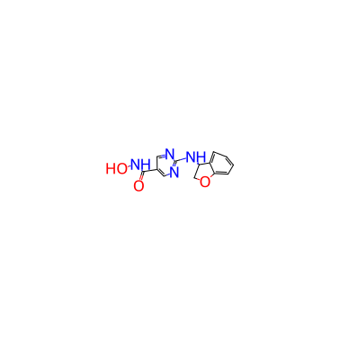 O=C(NO)c1cnc(N[C@@H]2COc3ccccc32)nc1